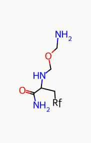 NCOCNC([CH2][Rf])C(N)=O